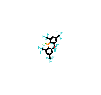 FC(F)(F)c1cc(C(F)(F)F)c(P(Cl)c2c(C(F)(F)F)cc(C(F)(F)F)cc2C(F)(F)F)c(C(F)(F)F)c1